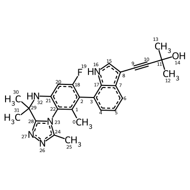 Cc1c(-c2cccc3c(C#CC(C)(C)O)c[nH]c23)c(F)cc2c1-n1c(C)nnc1C(C)(C)N2